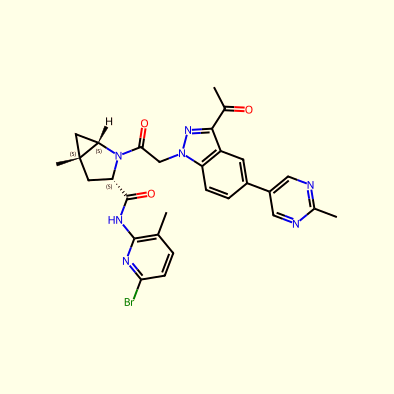 CC(=O)c1nn(CC(=O)N2[C@H]3C[C@@]3(C)C[C@H]2C(=O)Nc2nc(Br)ccc2C)c2ccc(-c3cnc(C)nc3)cc12